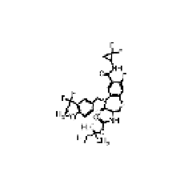 COc1ccc(CN2C(=O)[C@@H](NC(=O)OC(C)(C)C)CSc3cc(F)c(C(=O)NC4CC4(F)F)cc32)cc1C(F)(F)F